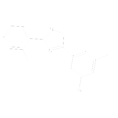 Cc1ccccc1-c1noc(-c2cc(Br)cc(C(F)(F)F)c2)n1